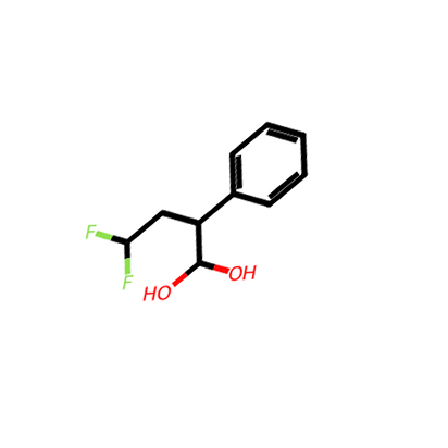 OC(O)C(CC(F)F)c1ccccc1